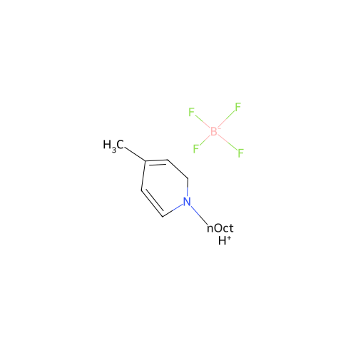 CCCCCCCCN1C=CC(C)=CC1.F[B-](F)(F)F.[H+]